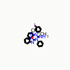 Cc1ccccc1N(C(=N)N(c1ccccc1)c1nc2ccccc2[nH]1)c1cc(I)ccc1C